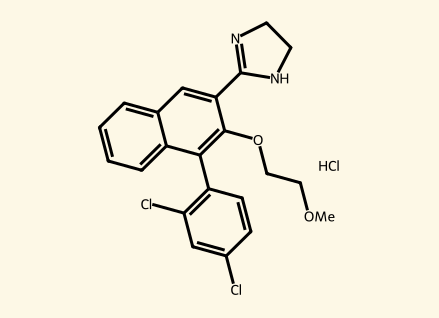 COCCOc1c(C2=NCCN2)cc2ccccc2c1-c1ccc(Cl)cc1Cl.Cl